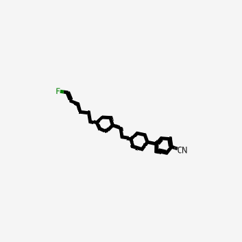 N#Cc1ccc(C2CCC(CCC3CCC(CCCCC=CF)CC3)CC2)cc1